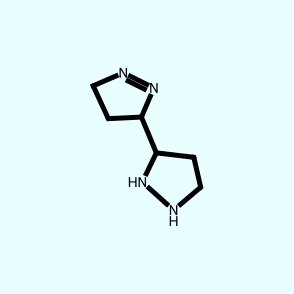 C1CC(C2CCNN2)N=N1